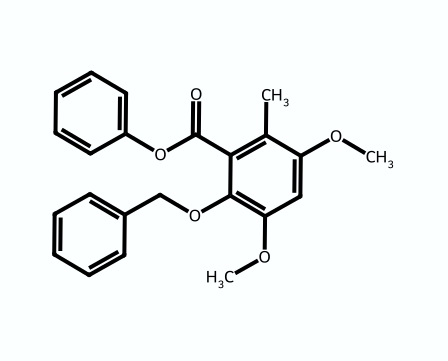 COc1cc(OC)c(OCc2ccccc2)c(C(=O)Oc2ccccc2)c1C